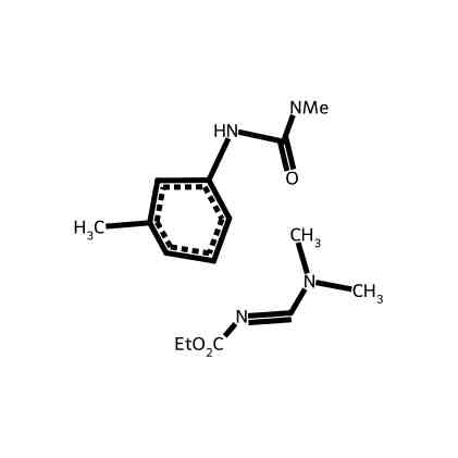 CCOC(=O)N=CN(C)C.CNC(=O)Nc1cccc(C)c1